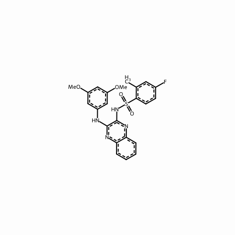 COc1cc(Nc2nc3ccccc3nc2NS(=O)(=O)c2ccc(F)cc2C)cc(OC)c1